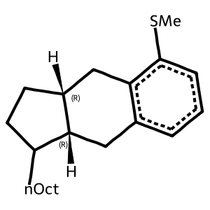 CCCCCCCCC1CC[C@@H]2Cc3c(cccc3SC)C[C@H]12